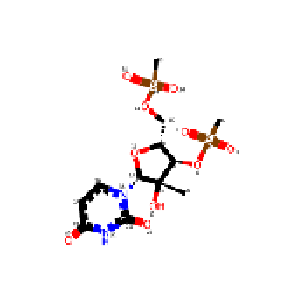 C[C@]1(O)[C@H](OS(C)(=O)=O)[C@@H](COS(C)(=O)=O)O[C@H]1n1ccc(=O)[nH]c1=O